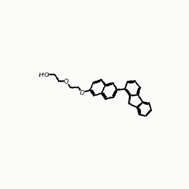 OCCOCCOc1ccc2cc(-c3cccc4c3Cc3ccccc3-4)ccc2c1